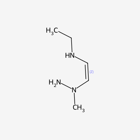 CCN/C=C\N(C)N